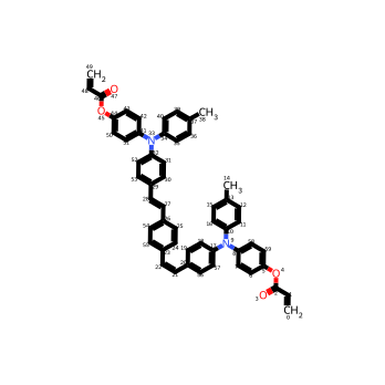 C=CC(=O)Oc1ccc(N(c2ccc(C)cc2)c2ccc(/C=C\c3ccc(/C=C/c4ccc(N(c5ccc(C)cc5)c5ccc(OC(=O)C=C)cc5)cc4)cc3)cc2)cc1